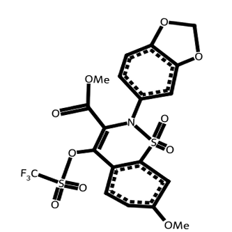 COC(=O)C1=C(OS(=O)(=O)C(F)(F)F)c2ccc(OC)cc2S(=O)(=O)N1c1ccc2c(c1)OCO2